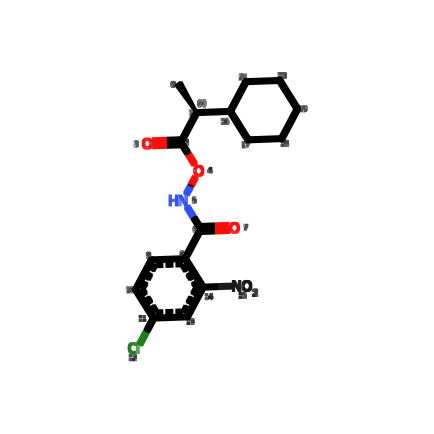 C[C@H](C(=O)ONC(=O)c1ccc(Cl)cc1[N+](=O)[O-])C1CCCCC1